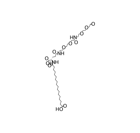 O=CCOCCOCCNC(=O)COCCOCCNC(=O)CC[C@H](NC(=O)CCCCCCCCCCCCCCCCC(=O)O)C(=O)O